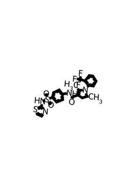 CC1=C(C(=O)Nc2ccc(S(=O)(=O)Nc3nccs3)cc2)CC(C)N1c1ccccc1C(F)(F)F